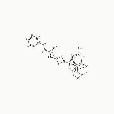 C[C@]12CC3CC(C1)[C@](CC(=O)N1CC(NC(=O)OCc4ccccc4)C1)(c1ccc(F)cc1)C(C3)C2